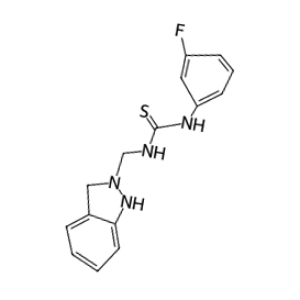 Fc1cccc(NC(=S)NCN2Cc3ccccc3N2)c1